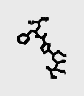 CCCCC(=O)N(C)C(CC(OCC)c1nc(C(=O)NC(Cc2ccccc2)CC(C)C(=O)O)cs1)C(C)C